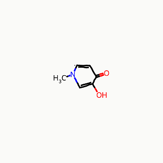 Cn1[c]cc(=O)c(O)c1